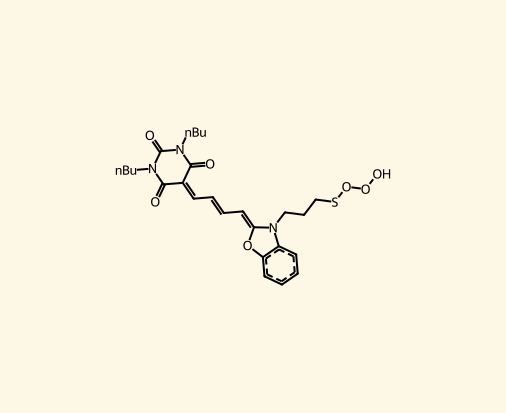 CCCCN1C(=O)C(=C/C=C/C=C2\Oc3ccccc3N2CCCSOOO)C(=O)N(CCCC)C1=O